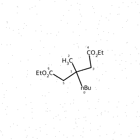 CCCCC(C)(CC(=O)OCC)CC(=O)OCC